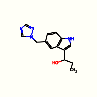 CCC(O)c1c[nH]c2ccc(Cn3cncn3)cc12